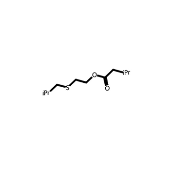 CC(C)CSCCOC(=O)CC(C)C